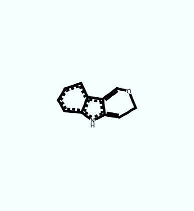 C1=c2[nH]c3ccccc3c2=COC1